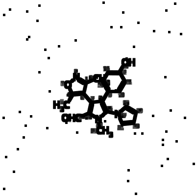 Cc1noc(C)c1-c1c(-c2ccc(O)cc2)c(-n2cccc2)n(C)c1C=O